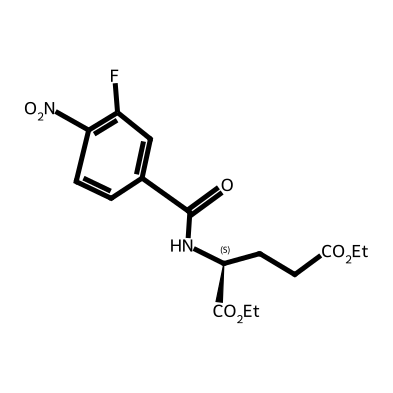 CCOC(=O)CC[C@H](NC(=O)c1ccc([N+](=O)[O-])c(F)c1)C(=O)OCC